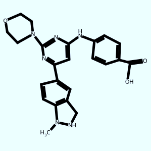 CN1NCc2cc(-c3cc(Nc4ccc(C(=O)O)cc4)nc(N4CCOCC4)n3)ccc21